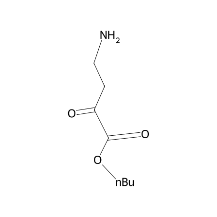 CCCCOC(=O)C(=O)CCN